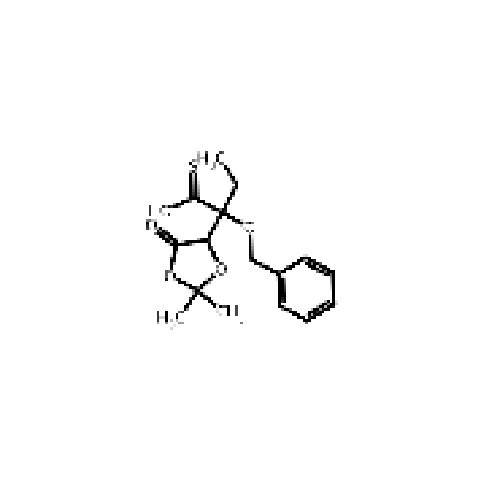 CCC(OCc1ccccc1)(C(O)=S)C1OC(C)(C)OC1=O